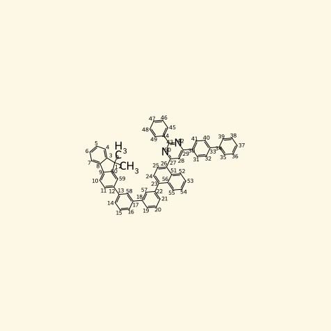 CC1(C)c2ccccc2-c2ccc(-c3cccc(-c4cccc(-c5ccc(-c6cc(-c7ccc(-c8ccccc8)cc7)nc(-c7ccccc7)n6)c6ccccc56)c4)c3)cc21